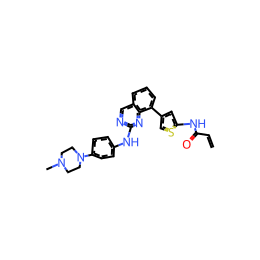 C=CC(=O)Nc1cc(-c2cccc3cnc(Nc4ccc(N5CCN(C)CC5)cc4)nc23)cs1